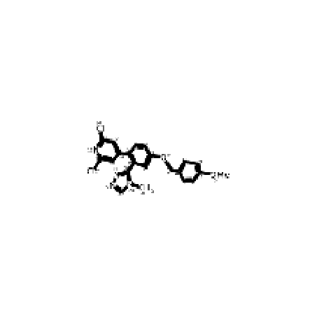 COc1ccc(COc2ccc(-c3cc(Cl)nc(Cl)c3)c(-c3nncn3C)c2)cc1